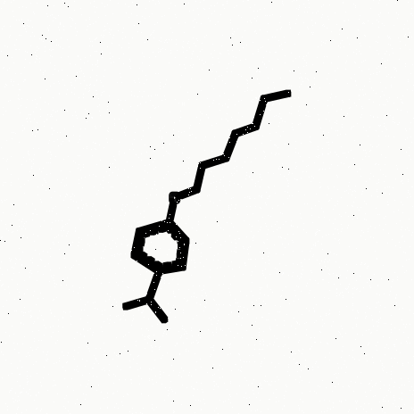 CCCCCCCOc1ccc(C(C)C)cc1